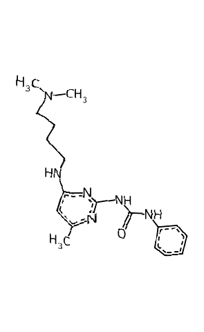 Cc1cc(NCCCCN(C)C)nc(NC(=O)Nc2ccccc2)n1